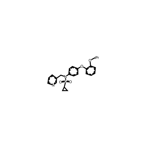 CC(C)Oc1ccccc1Oc1ccc(N(Cc2cccnc2)S(=O)(=O)C2CC2)cc1